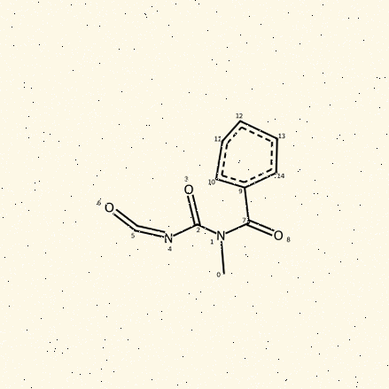 CN(C(=O)N=C=O)C(=O)c1ccccc1